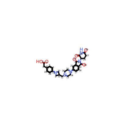 O=C(O)Cc1ccc(N2CC(CN3CCN(c4ccc5c(c4)C(=O)N(C4CCC(=O)NC4=O)C5=O)CC3)C2)cc1